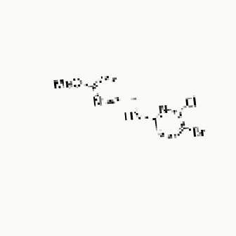 COc1ccc(CNc2ccc(Br)c(Cl)n2)cn1